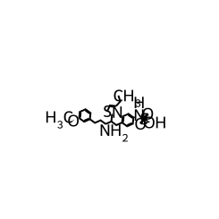 CCc1csc(C(Cc2ccc(NS(=O)(=O)O)cc2)C(N)CCc2cccc(OC)c2)n1